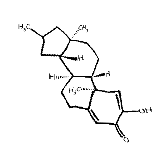 CC1C[C@H]2[C@@H]3CCC4=CC(=O)C(O)=C[C@]4(C)[C@H]3CC[C@]2(C)C1